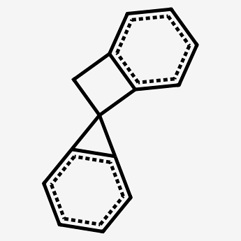 c1ccc2c(c1)CC21c2ccccc21